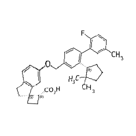 Cc1ccc(F)c(-c2ccc(COc3ccc4c(c3)[C@]3(CC4)CC[C@H]3C(=O)O)cc2[C@@H]2CCCC2(C)C)c1